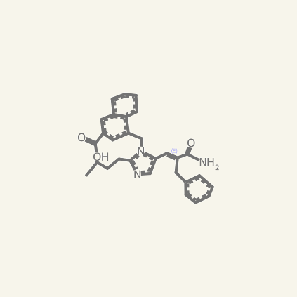 CCCCc1ncc(/C=C(\Cc2ccccc2)C(N)=O)n1Cc1cc(C(=O)O)cc2ccccc12